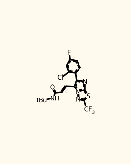 CC(C)(C)NC(=O)/C=C/c1c(-c2ccc(F)cc2Cl)nc2sc(C(F)(F)F)nn12